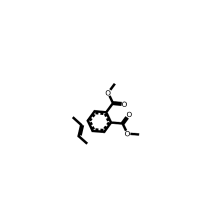 CC=CC.COC(=O)c1ccccc1C(=O)OC